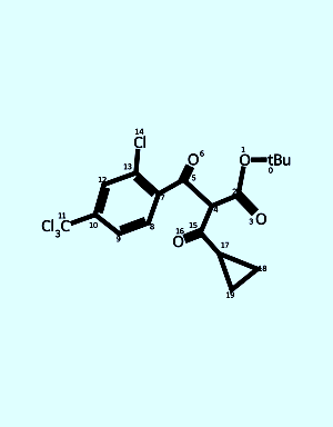 CC(C)(C)OC(=O)C(C(=O)c1ccc(C(Cl)(Cl)Cl)cc1Cl)C(=O)C1CC1